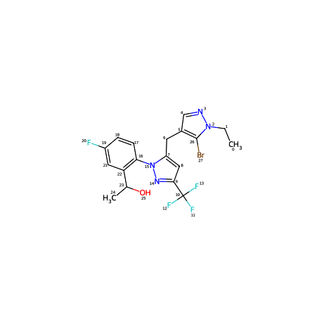 CCn1ncc(Cc2cc(C(F)(F)F)nn2-c2ccc(F)cc2C(C)O)c1Br